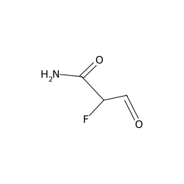 NC(=O)C(F)C=O